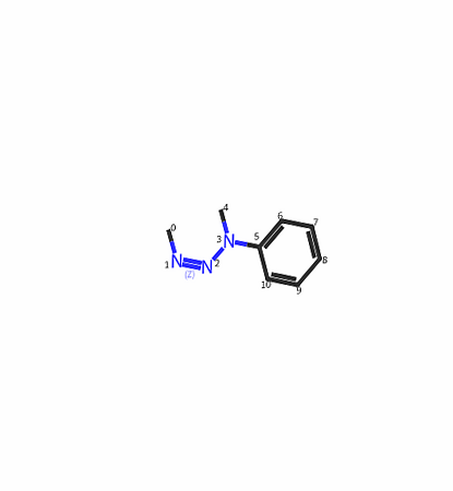 C/N=N\N(C)c1ccccc1